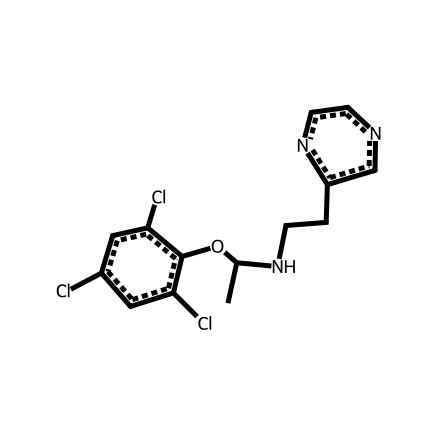 CC(NCCc1cnccn1)Oc1c(Cl)cc(Cl)cc1Cl